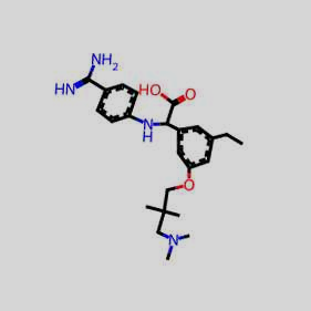 CCc1cc(OCC(C)(C)CN(C)C)cc(C(Nc2ccc(C(=N)N)cc2)C(=O)O)c1